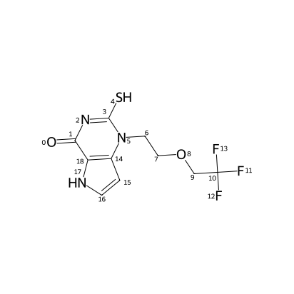 O=c1nc(S)n(CCOCC(F)(F)F)c2cc[nH]c12